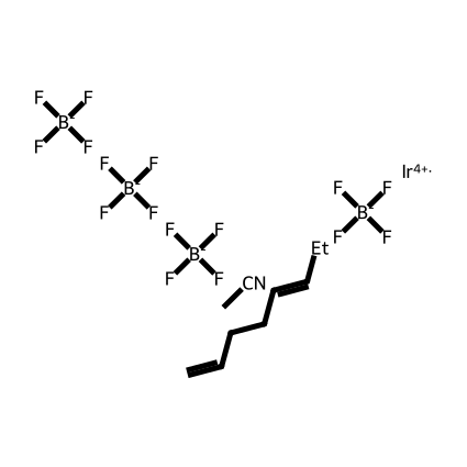 C=CCCC=CCC.CC#N.F[B-](F)(F)F.F[B-](F)(F)F.F[B-](F)(F)F.F[B-](F)(F)F.[Ir+4]